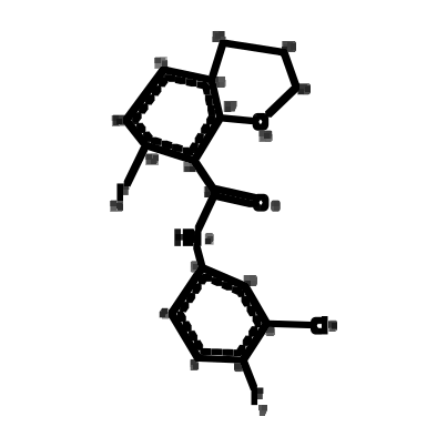 O=C(Nc1ccc(F)c(Cl)c1)c1c(F)ccc2c1OCCC2